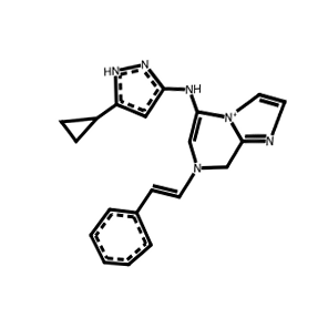 C1=C[N+]2C(Nc3cc(C4CC4)[nH]n3)=CN(/C=C/c3ccccc3)CC2=N1